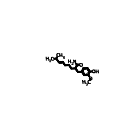 COc1cc(CC(CCCC=CC(C)C)C(N)=O)ccc1O